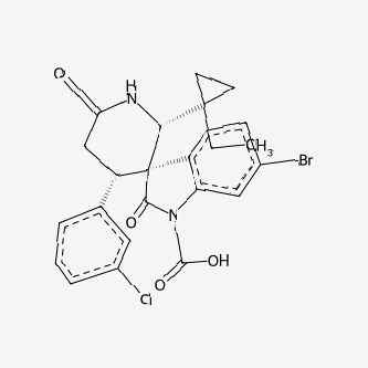 CCC1([C@H]2NC(=O)C[C@@H](c3cccc(Cl)c3)[C@]23C(=O)N(C(=O)O)c2cc(Br)ccc23)CC1